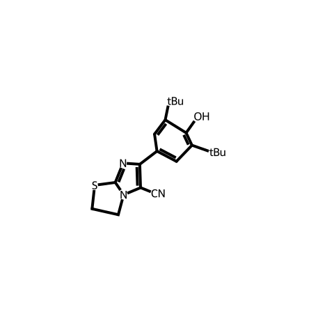 CC(C)(C)c1cc(-c2nc3n(c2C#N)CCS3)cc(C(C)(C)C)c1O